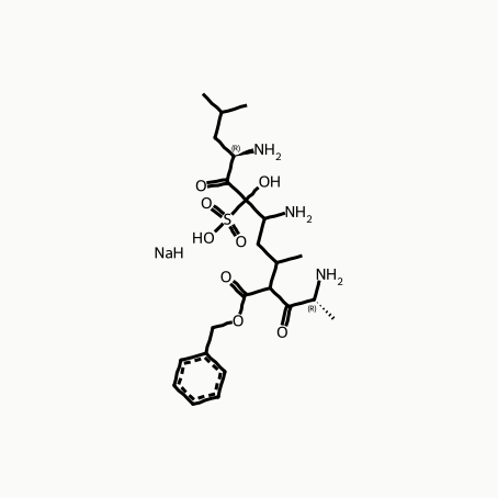 CC(C)C[C@@H](N)C(=O)C(O)(C(N)CC(C)C(C(=O)OCc1ccccc1)C(=O)[C@@H](C)N)S(=O)(=O)O.[NaH]